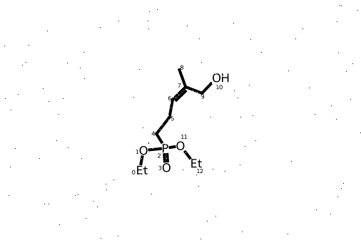 CCOP(=O)(CC/C=C(/C)CO)OCC